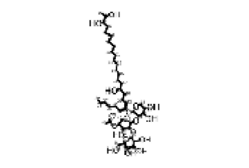 C=C(O)C(O)CCCCCCCCCCCCCC(O)CCCC(CCCCCC)OC1OCC(O)C(O)C1OC1OCC(OC(C)=O)C(O)C1OC1OC(CO)C(O)C(O)C1O